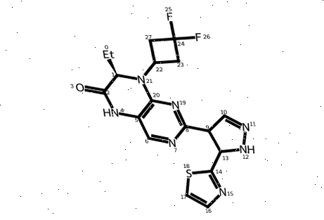 CC[C@@H]1C(=O)Nc2cnc(C3C=NNC3c3nccs3)nc2N1C1CC(F)(F)C1